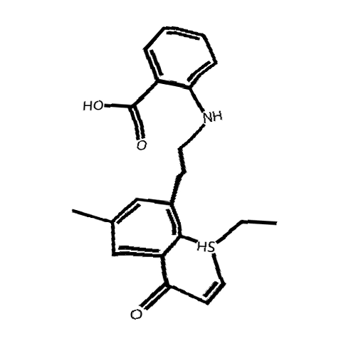 CC[SH]1C=CC(=O)c2cc(C)cc(CCNc3ccccc3C(=O)O)c21